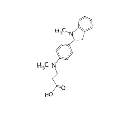 CN(CCC(=O)O)c1ccc(C2Cc3ccccc3N2C)cc1